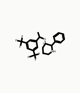 CC(O[C@H]1CCCNC1c1ccccc1)c1cc(C(F)(F)F)cc(C(F)(F)F)c1